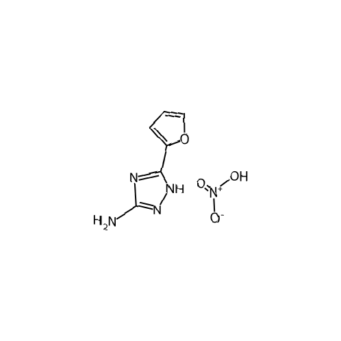 Nc1n[nH]c(-c2ccco2)n1.O=[N+]([O-])O